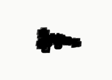 C[Si](C)(C)CCOCN1CCC2(CC(C(=O)N[C@H](c3cccc(Cl)c3)C3CCCC3)C2)C1=O